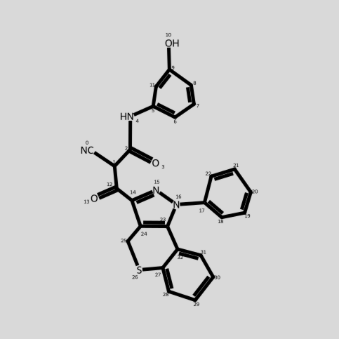 N#CC(C(=O)Nc1cccc(O)c1)C(=O)c1nn(-c2ccccc2)c2c1CSc1ccccc1-2